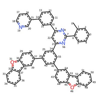 Cc1ccccc1-c1nc(-c2cccc(-c3cccnc3)c2)cc(-c2cc(-c3ccc4oc5ccccc5c4c3)cc(-c3ccc4oc5ccccc5c4c3)c2)n1